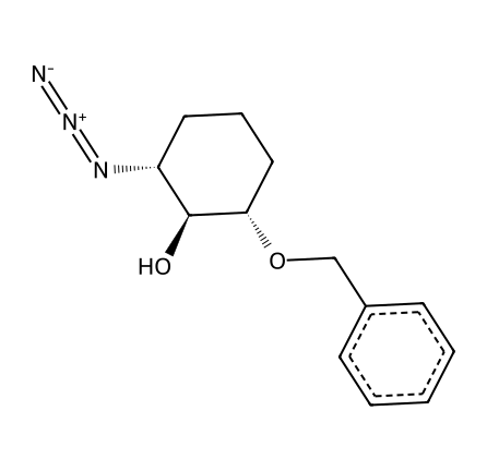 [N-]=[N+]=N[C@@H]1CCC[C@H](OCc2ccccc2)[C@H]1O